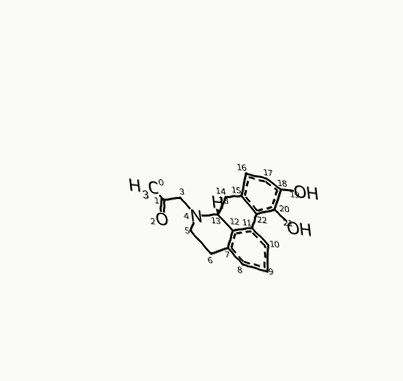 CC(=O)CN1CCc2cccc3c2[C@H]1Cc1ccc(O)c(O)c1-3